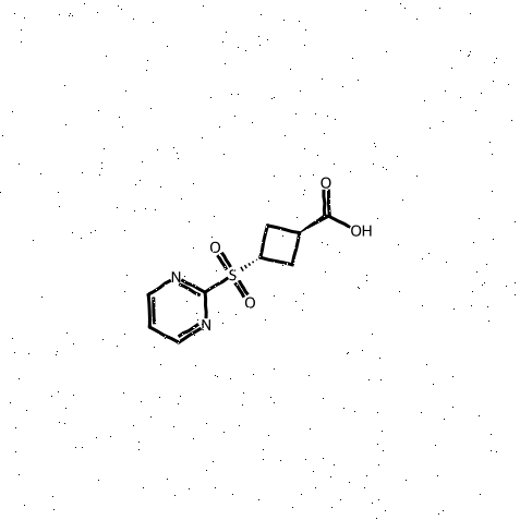 O=C(O)[C@H]1C[C@H](S(=O)(=O)c2ncccn2)C1